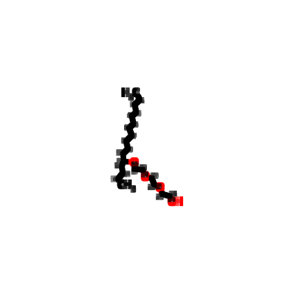 CCCCCCCCCCCC(CCCC)OCCOCCOCCO